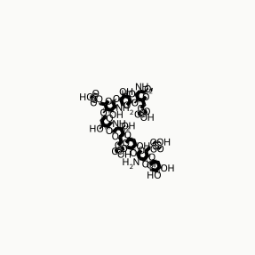 CO[C@H]1OC(COS(=O)(=O)O)[C@@H](O[C@H]2C[C@H](O)[C@H](O[C@H]3OC(COS(=O)(=O)O)[C@H](O[C@H]4C[C@H](O)[C@H](O[C@H]5OC(COS(=O)(=O)O)[C@@H](O[C@H]6C[C@H](O)[C@H](O[C@@H]7OC(COS(=O)(=O)O)[C@H](O[C@H]8C[C@H](O)[C@H](O)CO8)[C@H](O)C7N)CO6)[C@H](O)C5N)CO4)[C@H](O)C3N)CO2)[C@H](O)C1N